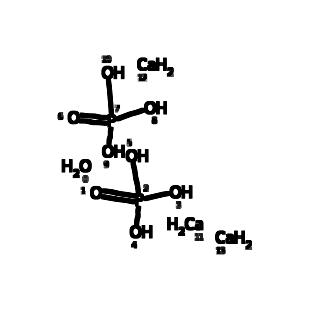 O.O=P(O)(O)O.O=P(O)(O)O.[CaH2].[CaH2].[CaH2]